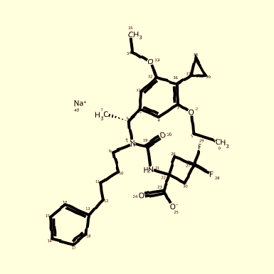 CCOc1cc([C@@H](C)N(CCCCc2ccccc2)C(=O)NC2(C(=O)[O-])CC(F)(F)C2)cc(OCC)c1C1CC1.[Na+]